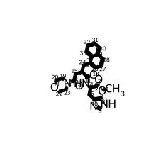 COC(=O)C(Cc1c[nH]cn1)NC(=O)C(CC(=O)N1CCOCC1)Cc1cccc2ccccc12